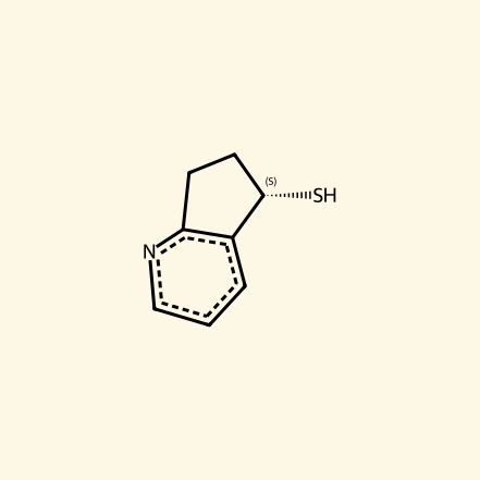 S[C@H]1CCc2ncccc21